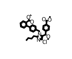 CCCCc1nc(Cl)c(C(OC)c2ccc(C(=O)OC)cc2)n1Cc1ccc(-c2ccccc2C(=O)OC)cc1